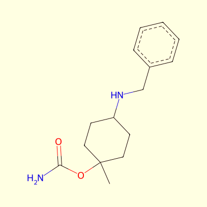 CC1(OC(N)=O)CCC(NCc2ccccc2)CC1